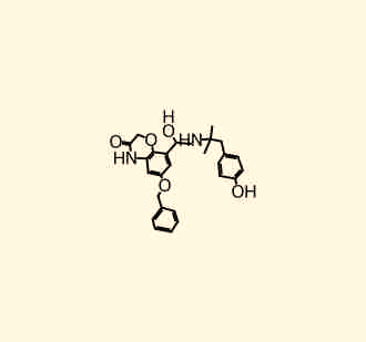 CC(C)(Cc1ccc(O)cc1)NCC(O)c1cc(OCc2ccccc2)cc2c1OCC(=O)N2